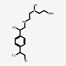 CCCN(CCNC)CCNCC(O)c1ccc(C(CC(C)C)C(F)(F)F)cc1